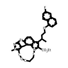 CCOC(=O)c1c(C(C)CCOc2cccc3cc(F)ccc23)c2ccc(C)c3c2n1CCCCOCc1c-3c(CC)nn1C